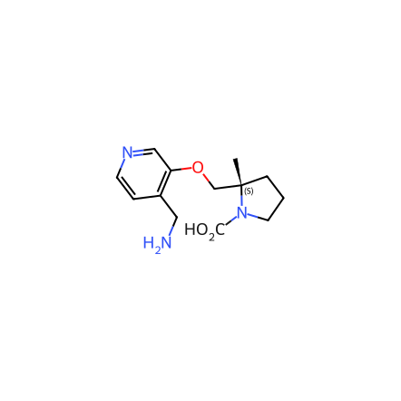 C[C@@]1(COc2cnccc2CN)CCCN1C(=O)O